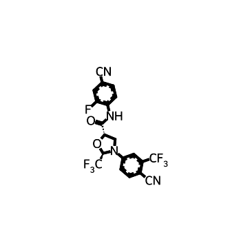 N#Cc1ccc(NC(=O)[C@@H]2CN(c3ccc(C#N)c(C(F)(F)F)c3)[C@@H](C(F)(F)F)O2)c(F)c1